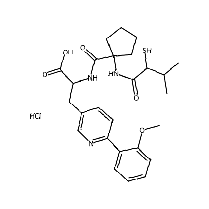 COc1ccccc1-c1ccc(CC(NC(=O)C2(NC(=O)C(S)C(C)C)CCCC2)C(=O)O)cn1.Cl